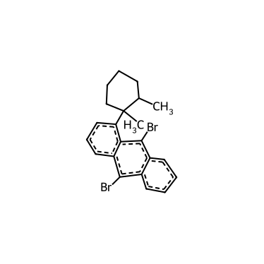 CC1CCCCC1(C)c1cccc2c(Br)c3ccccc3c(Br)c12